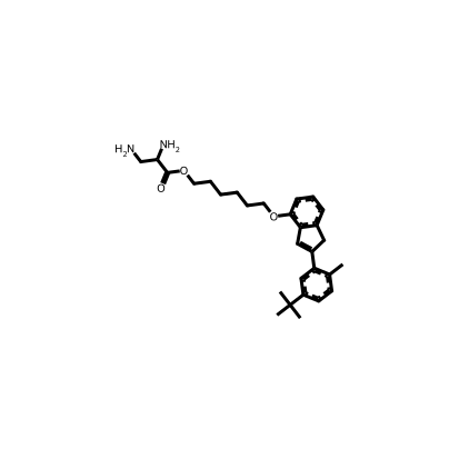 Cc1ccc(C(C)(C)C)cc1C1=Cc2c(cccc2OCCCCCCOC(=O)C(N)CN)C1